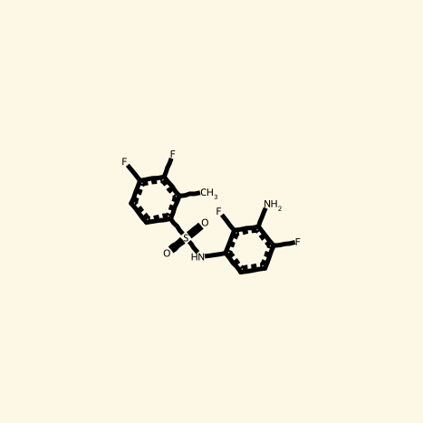 Cc1c(S(=O)(=O)Nc2ccc(F)c(N)c2F)ccc(F)c1F